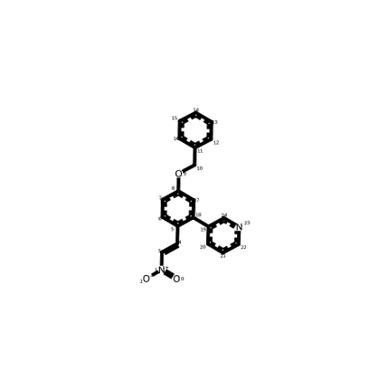 O=[N+]([O-])/C=C/c1ccc(OCc2ccccc2)cc1-c1cccnc1